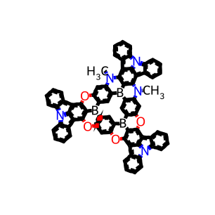 CN1c2cc3c(cc2B2c4cc5c(cc4N(C)c4c2c1c1c2ccccc2n2c6ccccc6c4c12)Oc1c2c(c4c6ccccc6n6c7ccccc7c1c46)Oc1ccccc1B52)B1c2ccccc2Oc2c1c(c1c4ccccc4n4c5ccccc5c2c14)O3